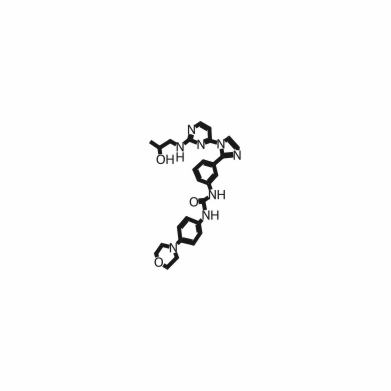 CC(O)CNc1nccc(-n2ccnc2-c2cccc(NC(=O)Nc3ccc(N4CCOCC4)cc3)c2)n1